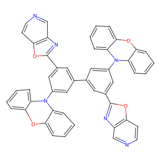 c1ccc2c(c1)Oc1ccccc1N2c1cc(-c2cc(-c3nc4cnccc4o3)cc(N3c4ccccc4Oc4ccccc43)c2)cc(-c2nc3cnccc3o2)c1